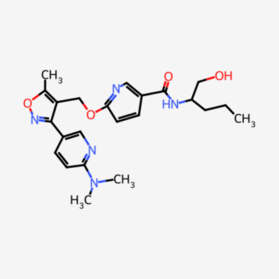 CCCC(CO)NC(=O)c1ccc(OCc2c(-c3ccc(N(C)C)nc3)noc2C)nc1